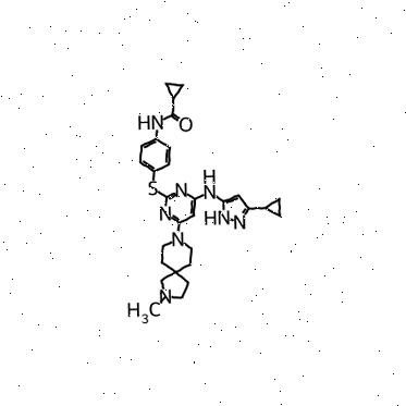 CN1CCC2(CCN(c3cc(Nc4cc(C5CC5)n[nH]4)nc(Sc4ccc(NC(=O)C5CC5)cc4)n3)CC2)C1